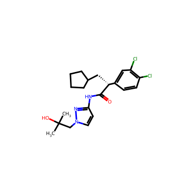 CC(C)(O)Cn1ccc(NC(=O)[C@H](CC2CCCC2)c2ccc(Cl)c(Cl)c2)n1